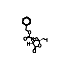 O=C1O[C@@]2(CI)C[C@@H]1N(C(=O)OCc1ccccc1)C2